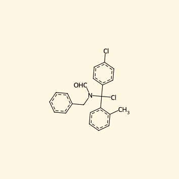 Cc1ccccc1C(Cl)(c1ccc(Cl)cc1)N(C=O)Cc1ccccc1